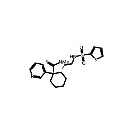 CNC(=S)[C@]1(c2cccnc2)CCCC[C@H]1CCNS(=O)(=O)c1cccs1